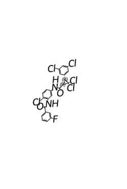 O=C(Nc1cc(NC(=O)[C@H]2[C@H](c3cc(Cl)cc(Cl)c3)C2(Cl)Cl)ccc1Cl)c1cccc(F)c1